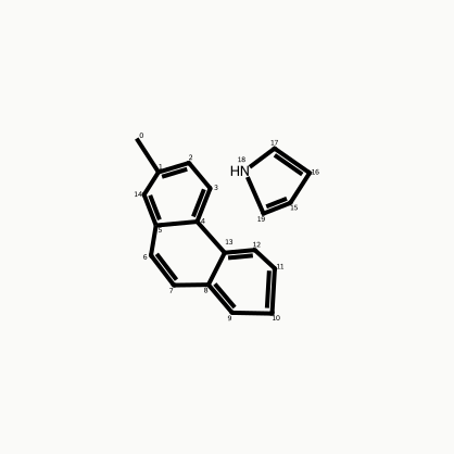 Cc1ccc2c(ccc3ccccc32)c1.c1cc[nH]c1